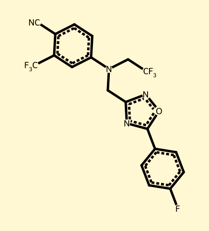 N#Cc1ccc(N(Cc2noc(-c3ccc(F)cc3)n2)CC(F)(F)F)cc1C(F)(F)F